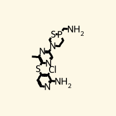 Cc1nc(N2CCP(CN)SC2)cnc1Sc1ccnc(N)c1Cl